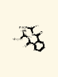 CCCCCCCC(CCC)OC(=O)c1ccccc1C(=O)OC(CCC)CCCCCCC